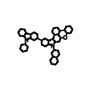 c1ccc(-n2c3ccccc3c3ccc(-c4ccc5c(c4)c4c6cccc7c6c(cc4n5-c4ccc5ccccc5c4)Oc4ccccc4-7)cc32)cc1